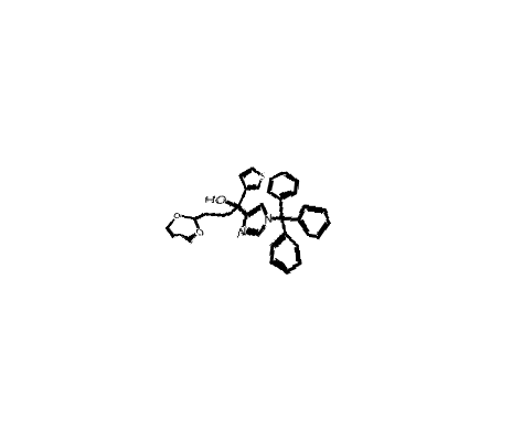 OC(CCC1OCCCO1)(c1ccsc1)c1cn(C(c2ccccc2)(c2ccccc2)c2ccccc2)cn1